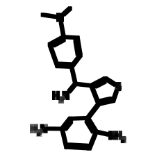 CN(C)c1ccc(C(N)c2cscc2-c2cc(N)ccc2N)cc1